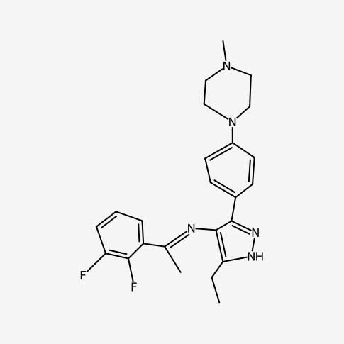 CCc1[nH]nc(-c2ccc(N3CCN(C)CC3)cc2)c1/N=C(\C)c1cccc(F)c1F